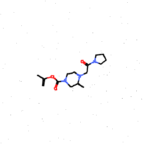 C=C(C)OC(=O)N1CCN(CC(=O)N2CCCC2)C(C)C1